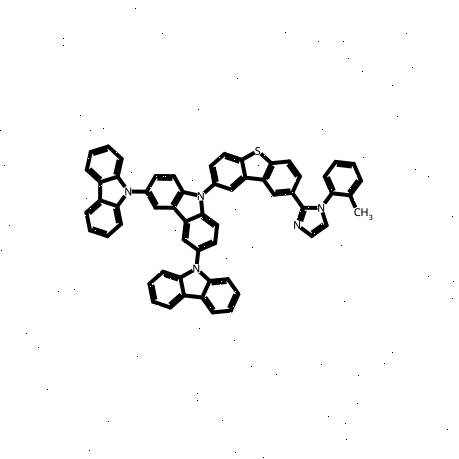 Cc1ccccc1-n1ccnc1-c1ccc2sc3ccc(-n4c5ccc(-n6c7ccccc7c7ccccc76)cc5c5cc(-n6c7ccccc7c7ccccc76)ccc54)cc3c2c1